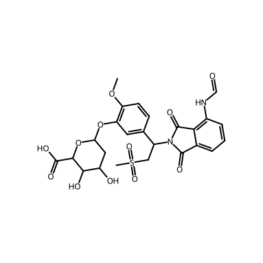 COc1ccc(C(CS(C)(=O)=O)N2C(=O)c3cccc(NC=O)c3C2=O)cc1OC1CC(O)C(O)C(C(=O)O)O1